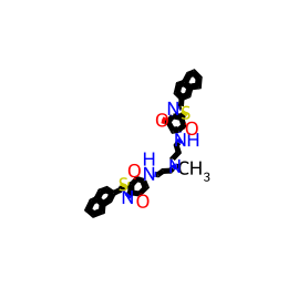 CN(CCCNC1=CC(=O)c2nc(-c3ccc4ccccc4c3)sc2C1=O)CCCNC1=CC(=O)c2nc(-c3ccc4ccccc4c3)sc2C1=O